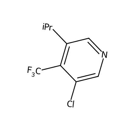 CC(C)c1cncc(Cl)c1C(F)(F)F